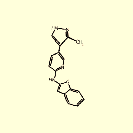 Cc1n[nH]cc1-c1ccc(Nc2cc3ccccc3o2)nc1